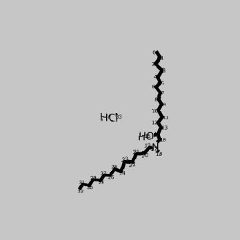 CCCCCCCCCCCCCCC(O)CN(C)CCCCCCCCCCCCCC.Cl